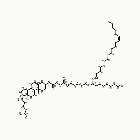 CCCCC/C=C\CCCCCCCCCCCOCC(CCCCCCCC)OCCOCCOC(=O)CCC(=O)C[C@H]1CC[C@@]2(C)C(=CCC3C2CC[C@@]2(C)C3CC[C@@H]2[C@H](C)CCCC(C)C)C1